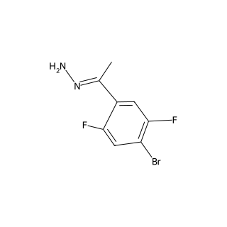 CC(=NN)c1cc(F)c(Br)cc1F